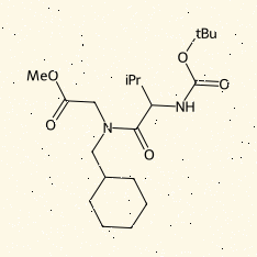 COC(=O)CN(CC1CCCCC1)C(=O)C(NC(=O)OC(C)(C)C)C(C)C